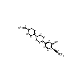 CCCCCC1CCC(C2CCC(c3ccc(C#CC(F)(F)F)c(F)c3)CC2)CC1